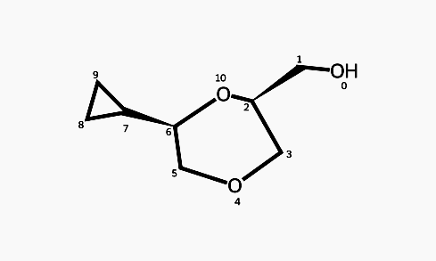 OC[C@H]1COC[C@@H](C2CC2)O1